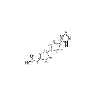 O=C(O)CC1CCC(c2ccc(-c3ncn[nH]3)cc2)CC1